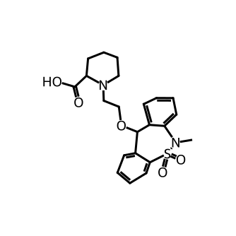 CN1c2ccccc2C(OCCN2CCCCC2C(=O)O)c2ccccc2S1(=O)=O